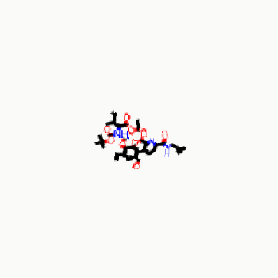 C=Cc1cc(C=O)c(-c2ccc(C(=O)NCC3CC3)nc2C(=O)OC(C)OC(=O)C(NC(=O)OC(C)(C)C)C(C)CC)cc1OC